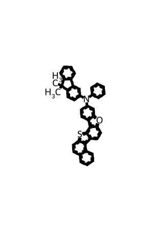 CC1(C)c2ccccc2-c2cc(N(c3ccccc3)c3ccc4c(c3)oc3ccc5c(sc6ccc7ccccc7c65)c34)ccc21